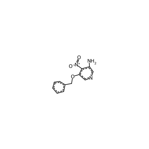 Nc1cncc(OCc2ccccc2)c1[N+](=O)[O-]